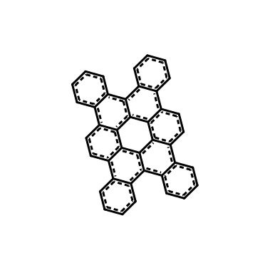 c1ccc2c(c1)c1ccc3c4ccccc4c4c5ccccc5c5ccc6c7ccccc7c2c2c1c3c4c5c62